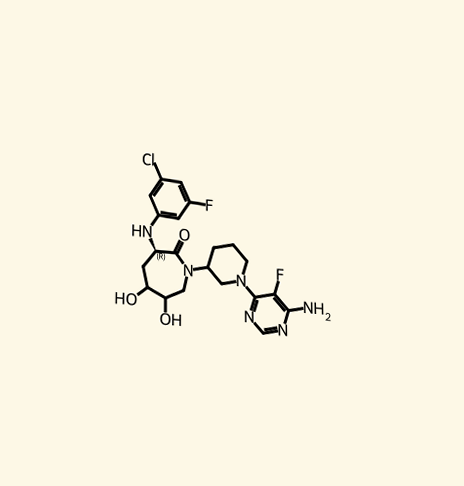 Nc1ncnc(N2CCCC(N3CC(O)C(O)C[C@@H](Nc4cc(F)cc(Cl)c4)C3=O)C2)c1F